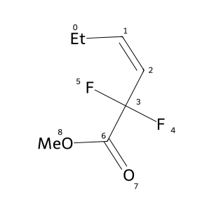 CC/C=C\C(F)(F)C(=O)OC